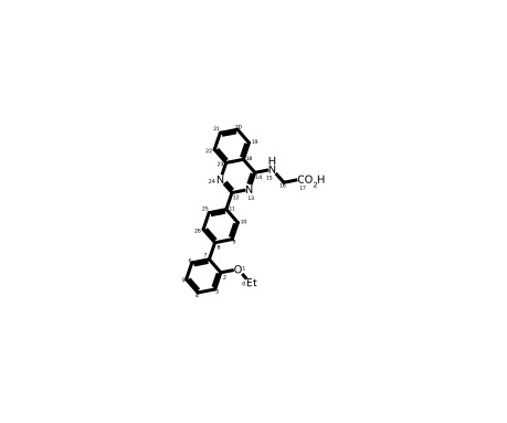 CCOc1ccccc1-c1ccc(-c2nc(NCC(=O)O)c3ccccc3n2)cc1